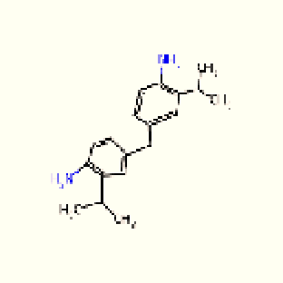 CC(C)c1cc(Cc2ccc(N)c(C(C)C)c2)ccc1N